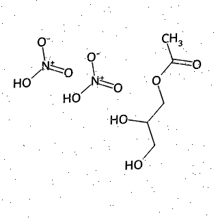 CC(=O)OCC(O)CO.O=[N+]([O-])O.O=[N+]([O-])O